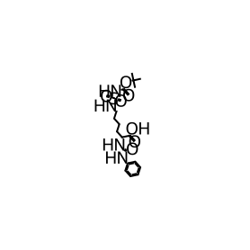 CC(C)(C)OC(=O)NS(=O)(=O)NCCCCC(NC(=O)Nc1ccccc1)C(=O)O